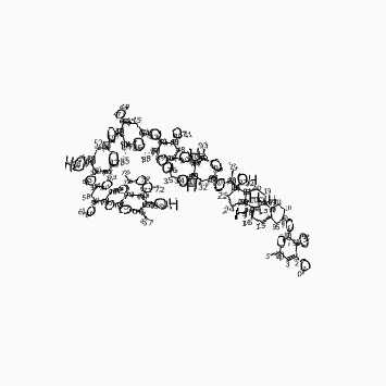 COC1=C[C@@H](C)O[C@@H](O[C@H]2CC[C@@]3(C)C(=CC[C@@H]4[C@@H]3CC[C@@]3(C)[C@H]4CC[C@]3(O)[C@H](C)O[C@H]3C[C@H]4OCO[C@@]5(C[C@@H](OC)[C@H](O[C@H]6C[C@H](OC)[C@H](O[C@H]7C[C@@H](O)[C@H](O[C@H]8C[C@H](OC)[C@H](O[C@@H]9O[C@H](C)[C@H](O)[C@H](OC)[C@H]9OC(C)=O)[C@@H](C)O8)[C@@H](C)O7)[C@@H](C)O6)[C@@H](C)O5)O[C@@H]4[C@@H](C)O3)C2)C1=O